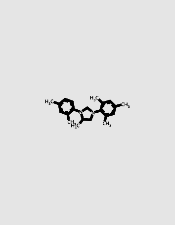 Cc1ccc(N2CN(c3c(C)cc(C)cc3C)CC2C)c(C)c1